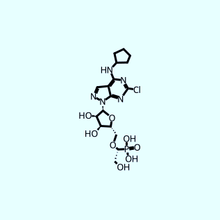 O=P(O)(O)[C@H](CO)OC[C@H]1O[C@@H](n2ncc3c(NC4CCCC4)nc(Cl)nc32)[C@H](O)[C@@H]1O